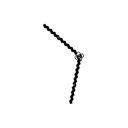 CCCCCCCC/C=C/CCCCCCCCCCOS(=O)(=O)OCCCCCCCCCC/C=C/CCCCCCCC